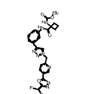 CC(C)(C)OC(=O)NC1(C(=O)Nc2cccc(-c3cn(Cc4ccc(-c5nnc(C(F)F)o5)cn4)nn3)c2)CCC1